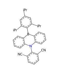 CC(C)c1cc(C(C)C)c(B2c3ccccc3N(c3c(C#N)cccc3C#N)c3ccccc32)c(C(C)C)c1